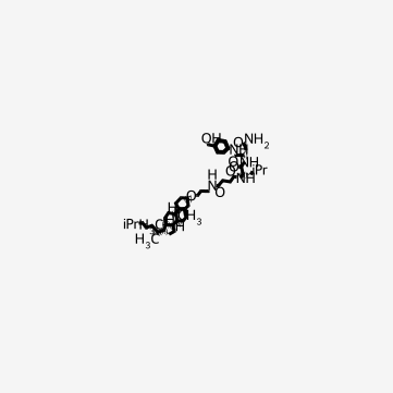 CC(C)CCC[C@@H](C)[C@H]1CC[C@H]2[C@@H]3CC=C4C[C@@H](OCCCNC(=O)CCC(=O)N[C@@H](CC(C)C)C(=O)N[C@@H](CC(N)=O)C(=O)Nc5ccc(CO)cc5)CC[C@]4(C)[C@H]3CC[C@]12C